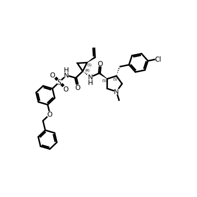 C=C[C@@H]1C[C@]1(NC(=O)[C@@H]1CN(C)C[C@H]1Cc1ccc(Cl)cc1)C(=O)NS(=O)(=O)c1cccc(OCc2ccccc2)c1